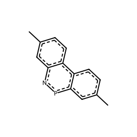 Cc1ccc2c(c1)npc1cc(C)ccc12